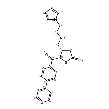 O=C1C[C@@H](CNCCn2cccn2)N(C(=O)c2ccc(-c3ccccc3)cc2)C1